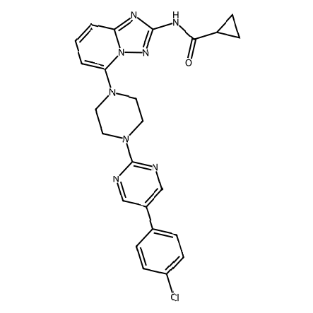 O=C(Nc1nc2cccc(N3CCN(c4ncc(-c5ccc(Cl)cc5)cn4)CC3)n2n1)C1CC1